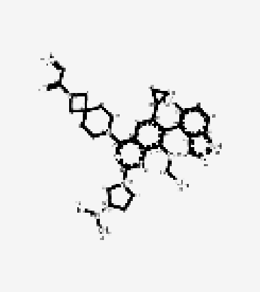 C=CC(=O)N1CC2(CCN(c3nc(N4CC[C@H](N(C)CC)C4)nc4c(OCC(F)(F)F)c(-c5c(C)ccc6[nH]ncc56)c(C5CC5)cc34)CC2)C1